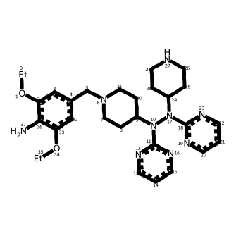 CCOc1cc(CN2CCC(N(c3ncccn3)N(c3ncccn3)C3CCNCC3)CC2)cc(OCC)c1N